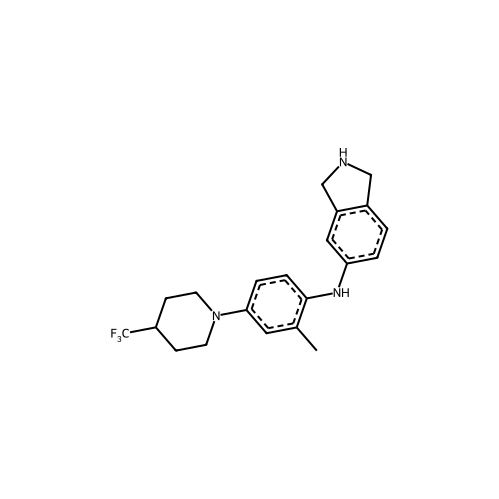 Cc1cc(N2CCC(C(F)(F)F)CC2)ccc1Nc1ccc2c(c1)CNC2